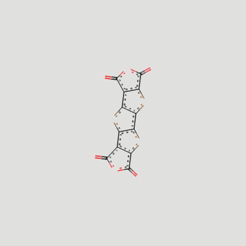 O=c1oc(=O)c2c1sc1c3sc4c(=O)oc(=O)c4c3sc12